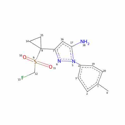 Cc1ccc(-n2nc(C3(S(=O)(=O)CF)CC3)cc2N)cc1